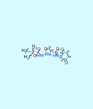 CC(C)(C)OC(=O)Nc1nc(C(=O)Nc2cc(I)ccc2Cl)co1